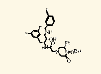 CCCCN1C(=O)CN(CC(=O)N[C@@H](Cc2cc(F)cc(F)c2)[C@@H](O)CNCc2cccc(I)c2)C[C@H]1CC